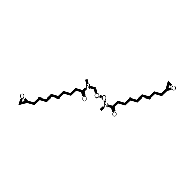 CN(COON(C)C(=O)CCCCCCCCC1CO1)C(=O)CCCCCCCCC1CO1